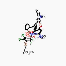 CCN(CC)c1ccc2c(-c3ccccc3S(=O)(=O)NS(=O)(=O)c3c(F)c(F)c(SCCC(=O)O)c(F)c3F)c3ccc(=[N+](CC)CC)cc-3oc2c1